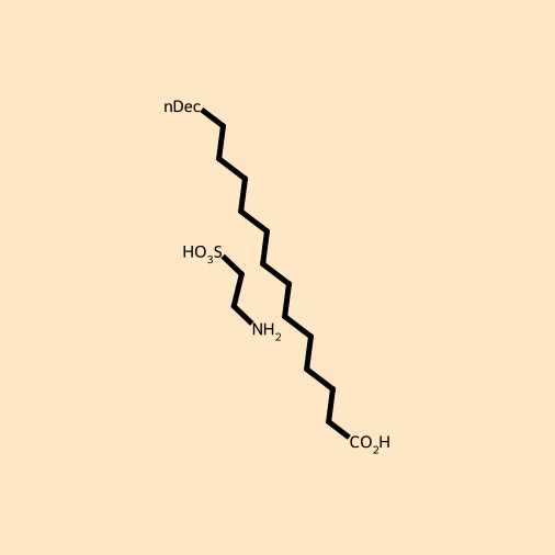 CCCCCCCCCCCCCCCCCCCCCCC(=O)O.NCCS(=O)(=O)O